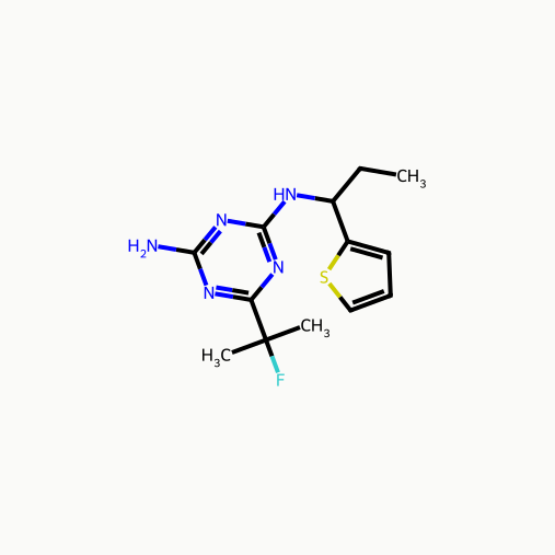 CCC(Nc1nc(N)nc(C(C)(C)F)n1)c1cccs1